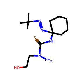 CC(C)(C)N=NC1(NC(=S)N(N)CCO)CCCCC1